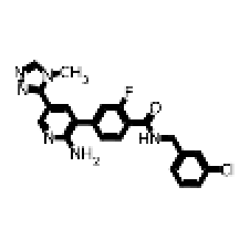 Cn1cnnc1-c1cnc(N)c(-c2ccc(C(=O)NCc3cccc(Cl)c3)c(F)c2)c1